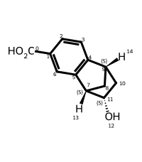 O=C(O)c1ccc2c(c1)[C@@H]1C[C@H]2C[C@@H]1O